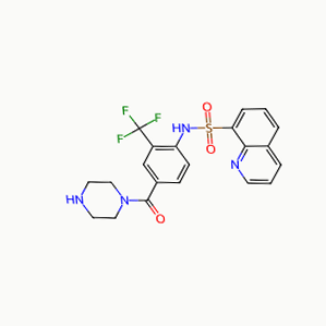 O=C(c1ccc(NS(=O)(=O)c2cccc3cccnc23)c(C(F)(F)F)c1)N1CCNCC1